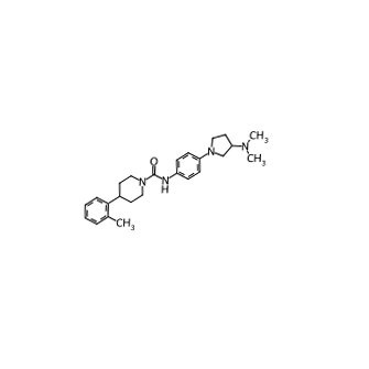 Cc1ccccc1C1CCN(C(=O)Nc2ccc(N3CCC(N(C)C)C3)cc2)CC1